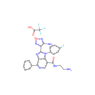 NCCNC(=O)c1cnc(-c2ccccc2)c2nc(-c3nonc3N)n(-c3ccc(F)cc3)c12.O=C(O)C(F)(F)F